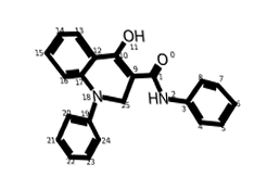 O=C(Nc1ccccc1)C1=C(O)c2ccccc2N(c2ccccc2)C1